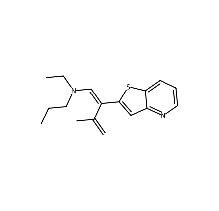 C=C(C)/C(=C\N(CC)CCC)c1cc2ncccc2s1